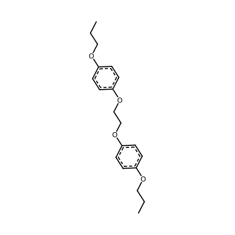 CCCOc1ccc(OCCOc2ccc(OCCC)cc2)cc1